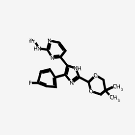 CC(C)Nc1nccc(-c2[nH]c(C3OCC(C)(C)CO3)nc2-c2ccc(F)cc2)n1